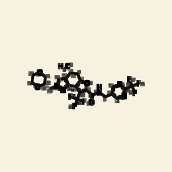 C[C@@H]1Cc2oc(C(=O)NCc3cnc(C(F)(F)F)nc3)c(C(F)(F)F)c2-c2nn(C[C@H]3COCCO3)cc21